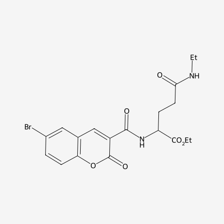 CCNC(=O)CCC(NC(=O)c1cc2cc(Br)ccc2oc1=O)C(=O)OCC